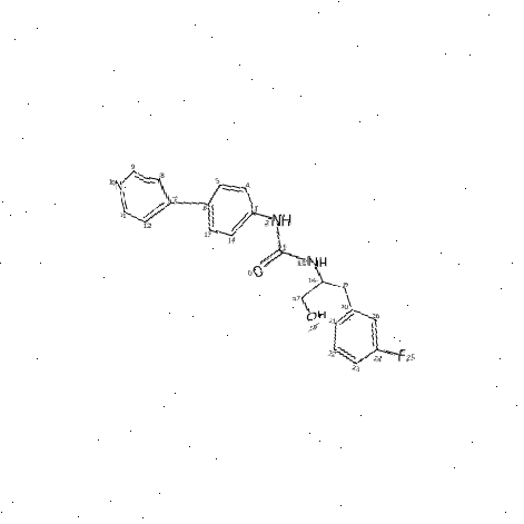 O=C(Nc1ccc(-c2ccncc2)cc1)NC(CO)Cc1cccc(F)c1